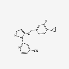 N#Cc1ccnc(-n2nccc2OCc2ccc(C3CC3)c(F)c2)c1